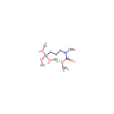 CCO[Si](CCCN(C(=O)O[SiH3])C(C)(C)C)(OCC)OCC